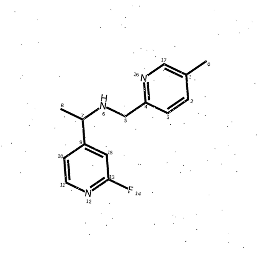 Cc1ccc(CNC(C)c2ccnc(F)c2)nc1